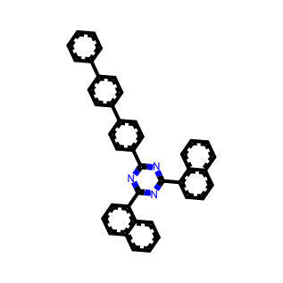 c1ccc(-c2ccc(-c3ccc(-c4nc(-c5cccc6ccccc56)nc(-c5cccc6ccccc56)n4)cc3)cc2)cc1